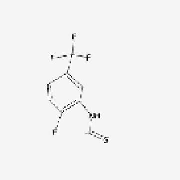 Fc1ccc(C(F)(F)F)cc1N[C]=S